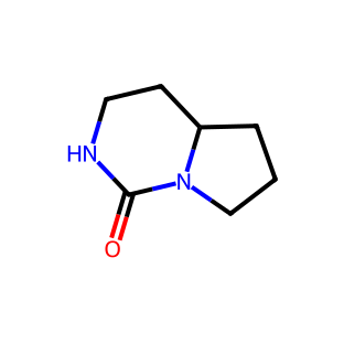 O=C1NCCC2CCCN12